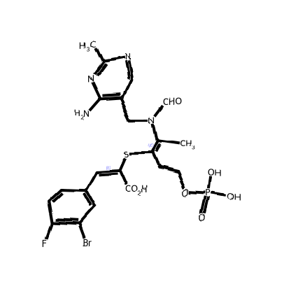 C/C(=C(\CCOP(=O)(O)O)S/C(=C/c1ccc(F)c(Br)c1)C(=O)O)N(C=O)Cc1cnc(C)nc1N